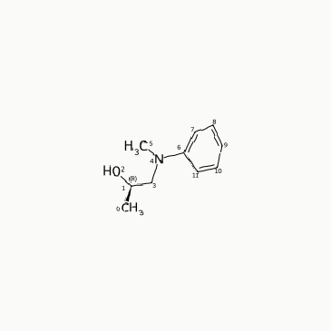 C[C@@H](O)CN(C)c1ccccc1